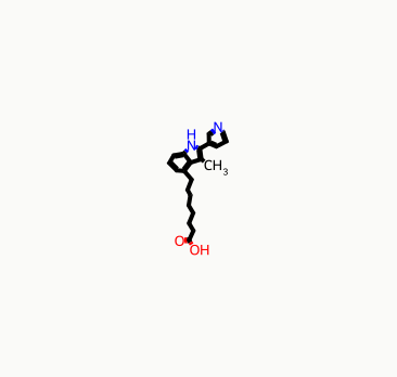 Cc1c(-c2cccnc2)[nH]c2cccc(CCCCCCCC(=O)O)c12